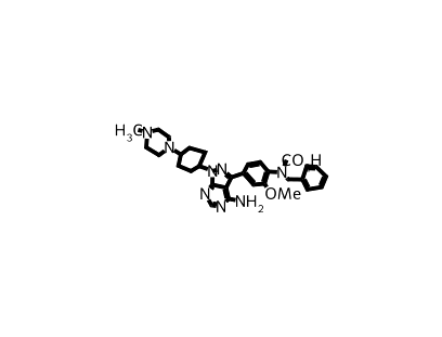 COc1cc(-c2nn(C3CCC(N4CCN(C)CC4)CC3)c3ncnc(N)c23)ccc1N(Cc1ccccc1)C(=O)O